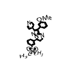 COc1cccc(-c2c(-c3ccncc3)nn3c(-c4cccc(S(=O)(=O)N(C)C)c4)ccnc23)c1